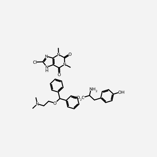 CN(C)CCOC(c1ccccc1)c1ccccc1.Cn1c(=O)c2[nH]c(Cl)nc2n(C)c1=O.NC(Cc1ccc(O)cc1)C(=O)O